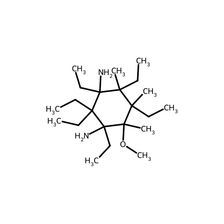 CCC1(C)C(C)(CC)C(C)(OC)C(N)(CC)C(CC)(CC)C1(N)CC